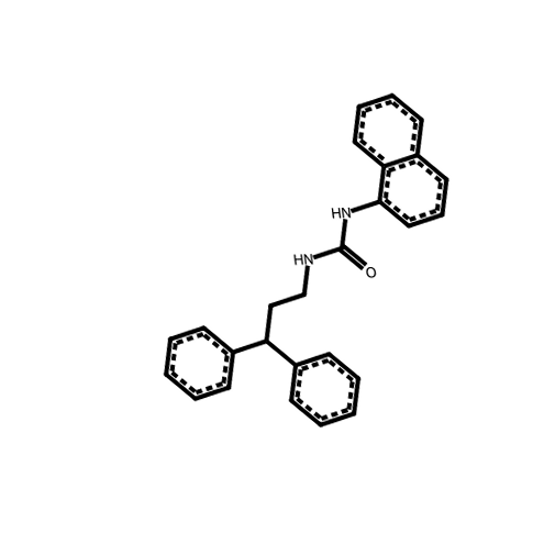 O=C(NCCC(c1ccccc1)c1ccccc1)Nc1cccc2ccccc12